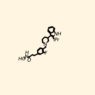 CC(C)c1[nH]c2ccccc2c1C1CCCN(Cc2ccc(CCC(=O)NO)cc2F)C1